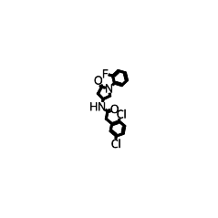 O=C(Cc1cc(Cl)ccc1Cl)NC1CC(=O)N(c2ccccc2F)C1